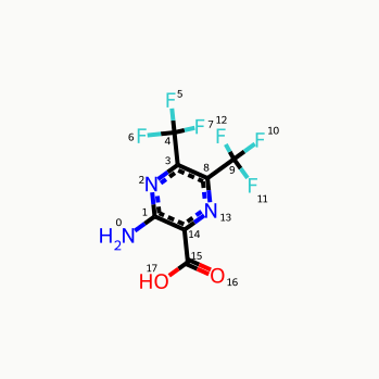 Nc1nc(C(F)(F)F)c(C(F)(F)F)nc1C(=O)O